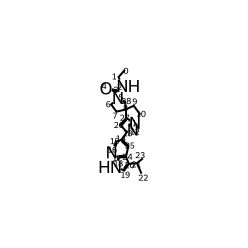 CCNC(=O)N1CCC2(CCn3nc(-c4cnc5[nH]cc(C(C)C)c5c4)cc32)C1